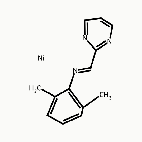 Cc1cccc(C)c1N=Cc1ncccn1.[Ni]